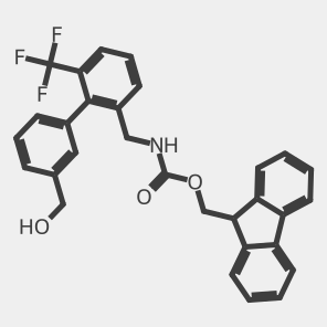 O=C(NCc1cccc(C(F)(F)F)c1-c1cccc(CO)c1)OCC1c2ccccc2-c2ccccc21